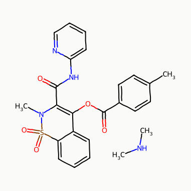 CNC.Cc1ccc(C(=O)OC2=C(C(=O)Nc3ccccn3)N(C)S(=O)(=O)c3ccccc32)cc1